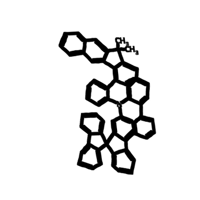 CC1(C)c2cc3ccccc3cc2-c2c(-c3ccccc3N(c3ccc4c(c3)C3(c5ccccc5-c5ccccc53)c3ccccc3-4)c3ccccc3-c3ccccc3)cccc21